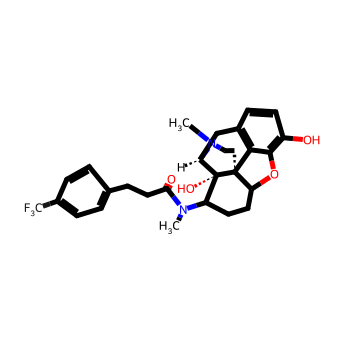 CN(C(=O)CCc1ccc(C(F)(F)F)cc1)C1CCC2Oc3c(O)ccc4c3[C@@]23CCN(C)[C@H](C4)[C@]13O